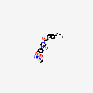 Cc1ccc2c(ccn2CC(=O)N2CCN(c3ccc(S(=O)(=O)Nc4nccs4)cc3)C(=O)C2)c1